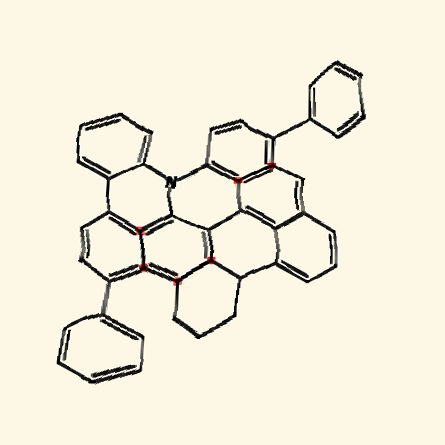 c1ccc(-c2ccc(-c3ccccc3N(c3ccc(-c4ccccc4)cc3)c3ccccc3-c3cccc4cccc(C5CCCCC5)c34)cc2)cc1